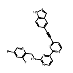 Fc1cnc(CNc2nccc(-c3nccc(C#Cc4ccc5[nH]ncc5c4)n3)n2)c(F)c1